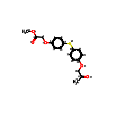 COC(=O)COc1ccc(Sc2ccc(OCC(C)=O)cc2)cc1